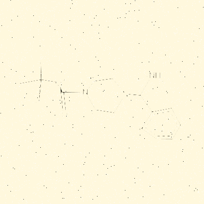 CC(C)(C)OC(=O)N1CCN(C(N)c2ccccc2)CC1